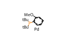 COc1ccccc1P(C(C)(C)C)C(C)(C)C.[Pd]